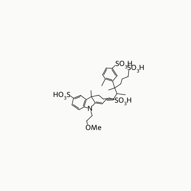 COCCN1/C(=C/C=C/C(C)C(C)(CCCS(=O)(=O)O)c2cc(S(=O)(=O)O)ccc2C)C(C)(CCCS(=O)(=O)O)c2cc(S(=O)(=O)O)ccc21